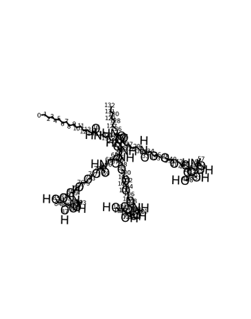 CCCCCCCCCCCCCCCC(=O)NCCCC[C@H](NC(=O)C(CCCCNC(=O)COCCOCCOCCO[C@@H]1O[C@H](CO)[C@H](O)[C@H](O)[C@H]1NC(C)=O)NC(=O)[C@H](CCCCNC(=O)COCCOCCOCCO[C@@H]1O[C@H](CO)[C@H](O)[C@H](O)[C@H]1NC(C)=O)NC(=O)COCCOCCOCCO[C@@H]1O[C@H](CO)[C@H](O)[C@H](O)[C@H]1NC(C)=O)C(=O)NCCCCCCC